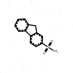 CS(=O)(=O)c1ccc2c(c1)Cc1ccccc1-2